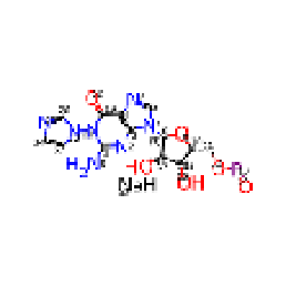 Nc1nc2c(ncn2[C@@H]2O[C@H](COP=O)[C@@H](O)[C@H]2O)c(=O)n1-n1ccnc1.[NaH]